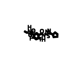 CCNS(=O)(=O)c1cc(C(=O)Nc2nnc(C3CCCC3)s2)c(F)cc1F